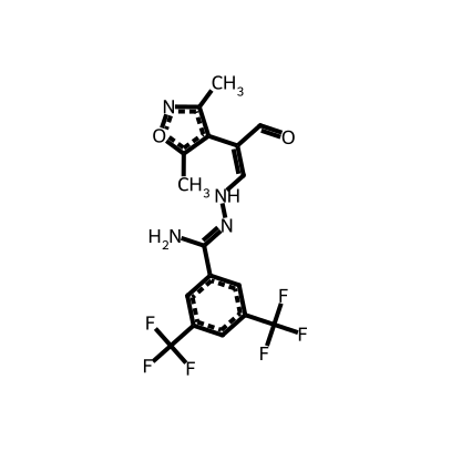 Cc1noc(C)c1/C(C=O)=C\N/N=C(\N)c1cc(C(F)(F)F)cc(C(F)(F)F)c1